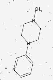 CN1CCN(c2[c]nccc2)CC1